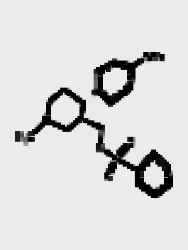 COc1ccc([C@H]2CCN(C)C[C@@H]2COS(=O)(=O)c2ccccc2)cc1